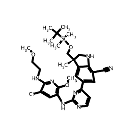 COCCNc1nc(OC)c(Nc2nccc(-c3cc(C#N)c4c(c3)[C@](C)(CO[Si](C)(C)C(C)(C)C)CN4)n2)cc1Cl